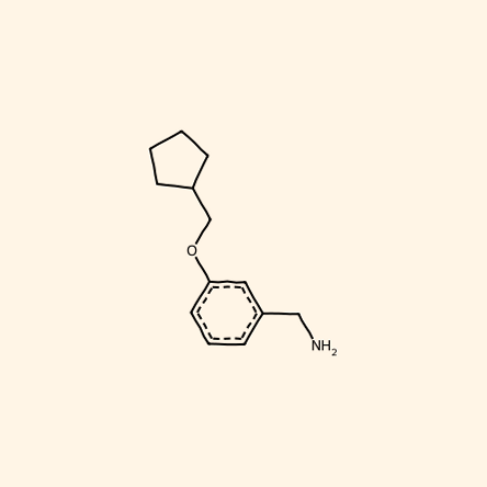 NCc1cccc(OCC2CCCC2)c1